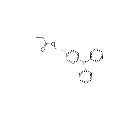 CCOC(=O)CC.c1ccc(P(c2ccccc2)c2ccccc2)cc1